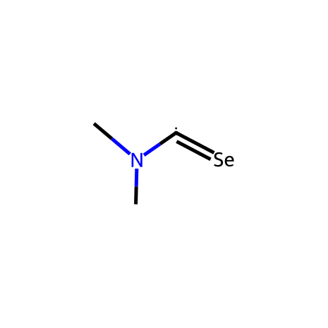 CN(C)[C]=[Se]